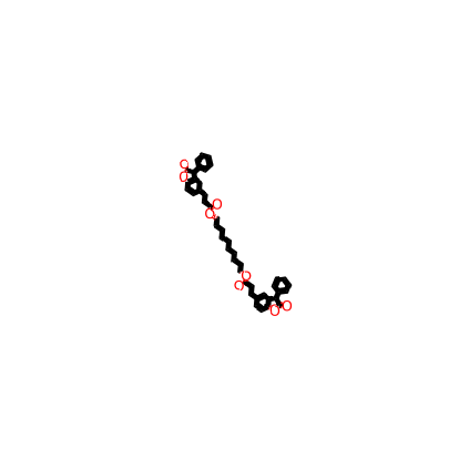 O=C(CCc1ccc2c(c1)C(c1ccccc1)C(=O)O2)OCCCCCCCCCCOC(=O)CCc1ccc2c(c1)C(c1ccccc1)C(=O)O2